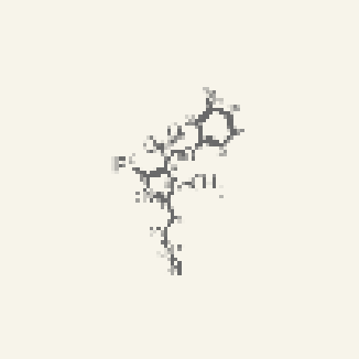 CC(C)c1nc(CN=[N+]=[N-])n(C)c1S(=O)(=O)Oc1cccc(F)c1